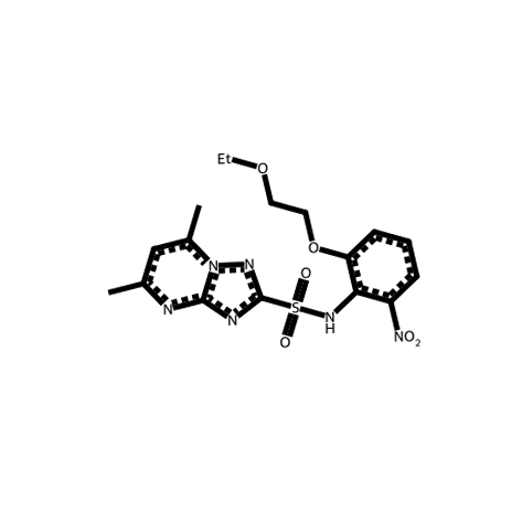 CCOCCOc1cccc([N+](=O)[O-])c1NS(=O)(=O)c1nc2nc(C)cc(C)n2n1